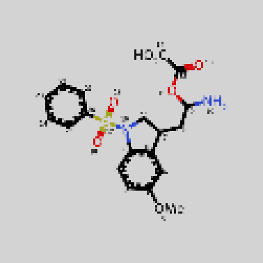 COc1ccc2c(c1)C(CC(N)OC(=O)C(=O)O)CN2S(=O)(=O)c1ccccc1